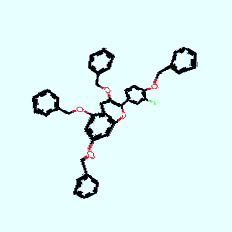 Fc1cc(C2=C(OCc3ccccc3)Cc3c(OCc4ccccc4)cc(OCc4ccccc4)cc3O2)ccc1OCc1ccccc1